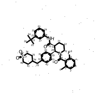 Cc1cccc(F)c1C(=O)N1CCC[C@H](C(=O)Nc2cccc(C(C)(C)C)c2)[C@@H]1c1ccc(CC2CCS(=O)(=O)CC2)cc1